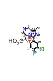 CC1=C2C=NC=C(CC(=O)O)[N+]2([O-])C(c2ccc(F)c(Cl)c2)=N1